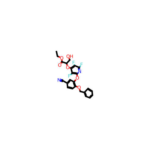 CCOC(=O)C(CO)Oc1c(F)c(F)nc(Oc2cc(C#N)ccc2OCc2ccccc2)c1F